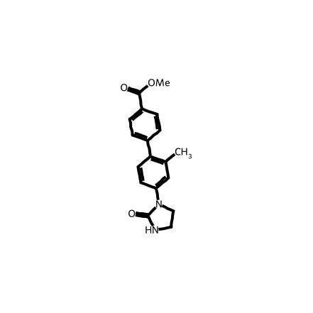 COC(=O)c1ccc(-c2ccc(N3CCNC3=O)cc2C)cc1